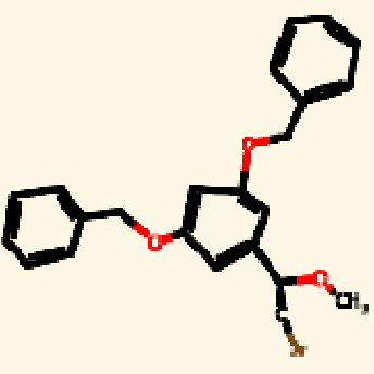 CO[C@@H](CBr)c1cc(OCc2ccccc2)cc(OCc2ccccc2)c1